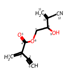 C#CC(=C)C(=O)OCC(O)C(=C)C#N